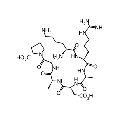 C[C@H](NC(=O)[C@H](CC(=O)O)NC(=O)[C@H](C)NC(=O)[C@H](CCCNC(=N)N)NC(=O)[C@@H](N)CCCCN)C(=O)N[C@@H](C)C(=O)N1CCC[C@H]1C(=O)O